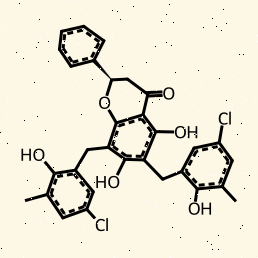 Cc1cc(Cl)cc(Cc2c(O)c(Cc3cc(Cl)cc(C)c3O)c3c(c2O)C(=O)C[C@H](c2ccccc2)O3)c1O